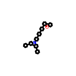 c1ccc(-c2ccc3c(c2)c2cc(-c4ccccc4)ccc2n3-c2ccc(-c3ccc(-c4ccc(-c5cccc6c5oc5ccccc56)cc4)cc3)cc2)cc1